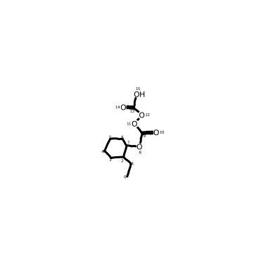 CCC1CCCCC1OC(=O)OOC(=O)O